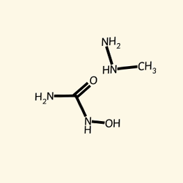 CNN.NC(=O)NO